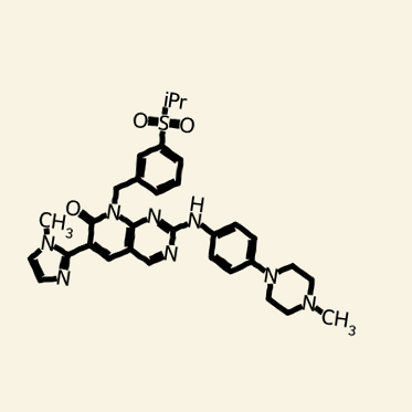 CC(C)S(=O)(=O)c1cccc(Cn2c(=O)c(-c3nccn3C)cc3cnc(Nc4ccc(N5CCN(C)CC5)cc4)nc32)c1